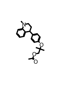 CC(=O)OCC(C)(C)Oc1ccc(C2CCN(C)c3ccccc32)cc1